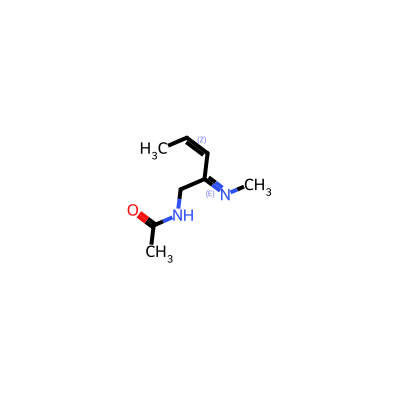 C/C=C\C(CNC(C)=O)=N/C